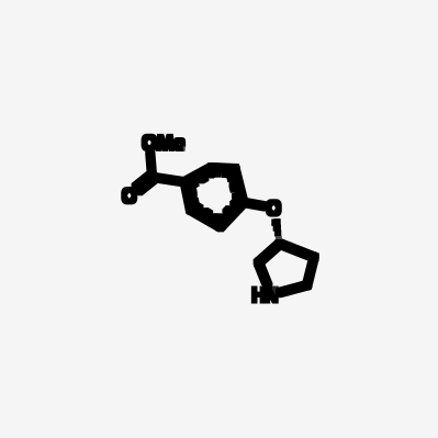 COC(=O)c1ccc(O[C@@H]2CCNC2)cc1